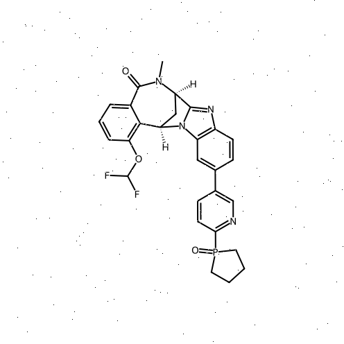 CN1C(=O)c2cccc(OC(F)F)c2[C@H]2C[C@@H]1c1nc3ccc(-c4ccc(P5(=O)CCCC5)nc4)cc3n12